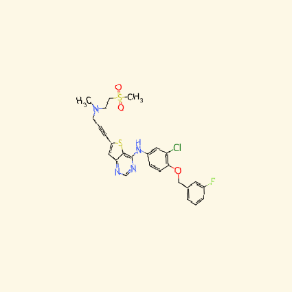 CN(CC#Cc1cc2ncnc(Nc3ccc(OCc4cccc(F)c4)c(Cl)c3)c2s1)CCS(C)(=O)=O